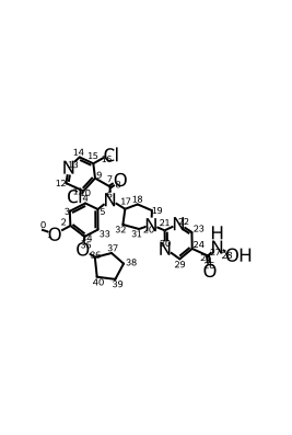 COc1ccc(N(C(=O)c2c(Cl)cncc2Cl)C2CCN(c3ncc(C(=O)NO)cn3)CC2)cc1OC1CCCC1